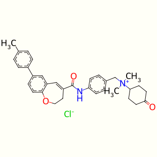 Cc1ccc(-c2ccc3c(c2)C=C(C(=O)Nc2ccc(C[N+](C)(C)C4CCC(=O)CC4)cc2)CCO3)cc1.[Cl-]